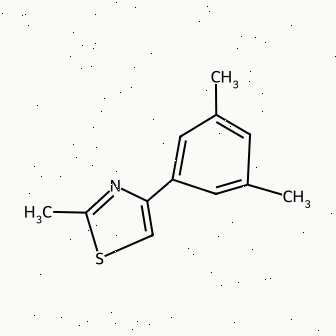 Cc1cc(C)cc(-c2csc(C)n2)c1